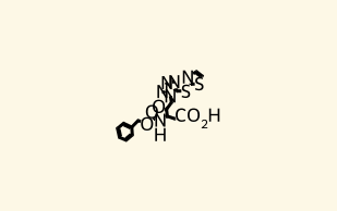 O=C(O)CC(NC(=O)OCc1ccccc1)C(=O)Cn1nnnc1Sc1nccs1